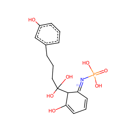 O=P(O)(O)/N=C1\C=CC=C(O)C1C(O)(O)CCCc1cccc(O)c1